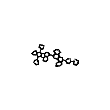 c1ccc(-c2c3c(c(-c4ccccc4)c4ccccc24)-c2ccc(-c4cc5c6ccccc6c(-c6ccc(-c7ccccn7)nc6)cc5c5ccccc45)c4cccc-3c24)cc1